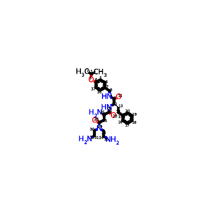 CC(C)Oc1ccc(CNC(=O)[C@H](CCc2ccccc2)NC(=O)[C@@H](N)CC(=O)N(CCN)CCN)cc1